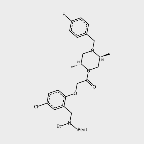 CCCC(C)N(CC)Cc1cc(Cl)ccc1OCC(=O)N1C[C@H](C)N(Cc2ccc(F)cc2)C[C@H]1C